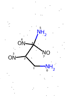 NCC(N=O)C(N)(N=O)N=O